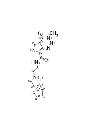 Cn1nnc2c(C(=O)NCCN3CC4C5C=CC(C5)C4C3)ncn2c1=O